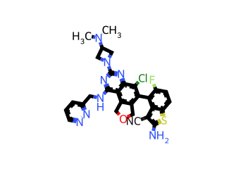 CN(C)C1CN(c2nc(NCc3cccnn3)c3c4c(c(-c5c(F)ccc6sc(N)c(C#N)c56)c(Cl)c3n2)COC4)C1